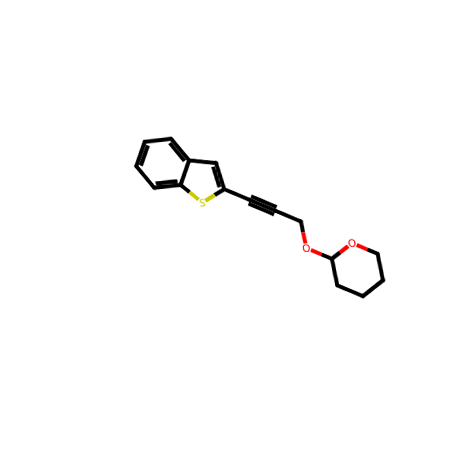 C(#Cc1cc2ccccc2s1)COC1CCCCO1